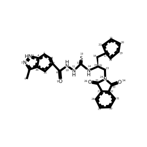 Cc1n[nH]c2ccc(C(=O)NNC(=S)N[C@@H](Cc3ccccc3)CN3C(=O)c4ccccc4C3=O)cc12